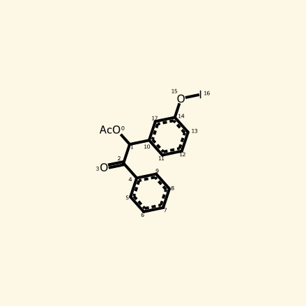 CC(=O)OC(C(=O)c1ccccc1)c1cccc(OI)c1